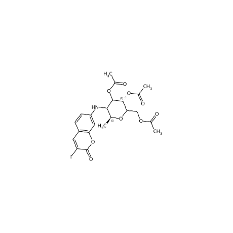 CC(=O)OCC1O[C@@H](C)C(Nc2ccc3cc(I)c(=O)oc3c2)C(OC(C)=O)[C@@H]1OC(C)=O